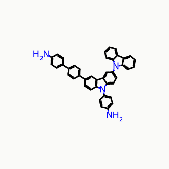 Nc1ccc(-c2ccc(-c3ccc4c(c3)c3cc(-n5c6ccccc6c6ccccc65)ccc3n4-c3ccc(N)cc3)cc2)cc1